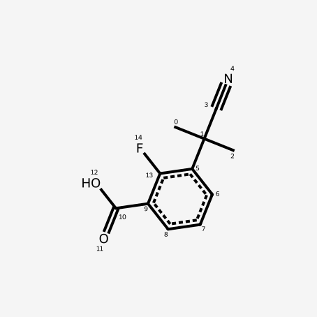 CC(C)(C#N)c1cccc(C(=O)O)c1F